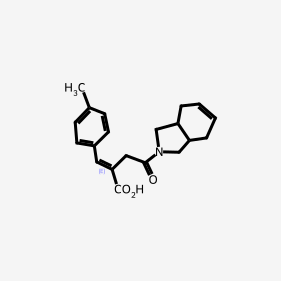 Cc1ccc(/C=C(\CC(=O)N2CC3CC=CCC3C2)C(=O)O)cc1